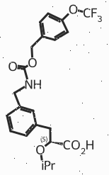 CC(C)O[C@@H](Cc1cccc(CNC(=O)OCc2ccc(OC(F)(F)F)cc2)c1)C(=O)O